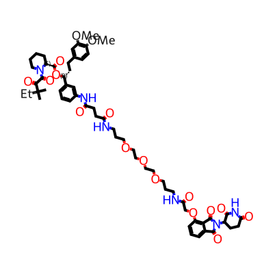 CCC(C)(C)C(=O)C(=O)N1CCCC[C@H]1C(=O)O[C@H](CCc1ccc(OC)c(OC)c1)c1cccc(NC(=O)CCC(=O)NCCCOCCOCCOCCCNC(=O)COc2cccc3c2C(=O)N(C2CCC(=O)NC2=O)C3=O)c1